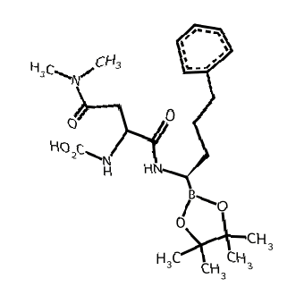 CN(C)C(=O)CC(NC(=O)O)C(=O)N[C@@H](CCCc1ccccc1)B1OC(C)(C)C(C)(C)O1